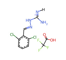 O=C(O)C(F)(F)F.[H]/N=C(\N)NN=Cc1c(Cl)cccc1Cl